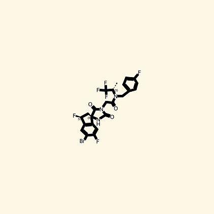 C[C@H](N(Cc1ccc(F)cc1)C(=O)CN1C(=O)N[C@@]2(C[C@H](F)c3cc(Br)c(F)cc32)C1=O)C(F)(F)F